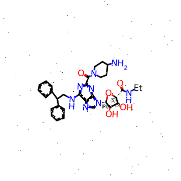 CCNC(=O)[C@H]1O[C@@H](n2cnc3c(NCC(c4ccccc4)c4ccccc4)nc(C(=O)N4CCC(N)CC4)nc32)[C@H](O)[C@@H]1O